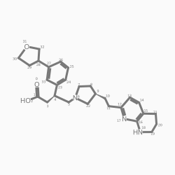 O=C(O)C[C@H](CN1CC[C@@H](CCc2ccc3c(n2)NCCC3)C1)c1cccc(C2CCOC2)c1